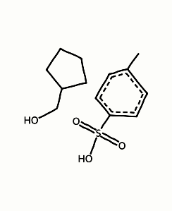 Cc1ccc(S(=O)(=O)O)cc1.OCC1CCCC1